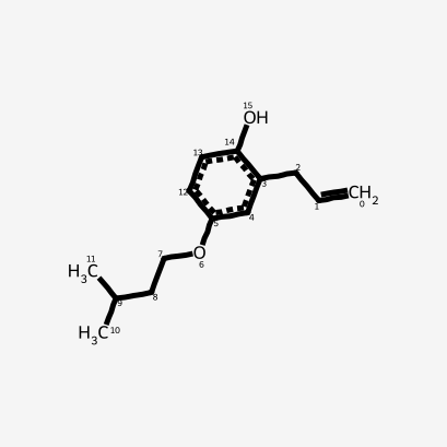 C=CCc1cc(OCCC(C)C)ccc1O